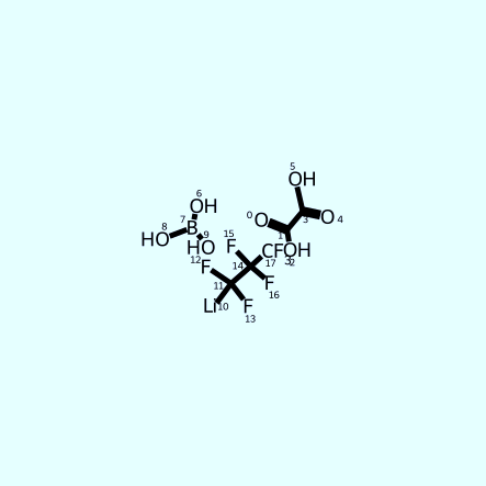 O=C(O)C(=O)O.OB(O)O.[Li][C](F)(F)C(F)(F)C(F)(F)F